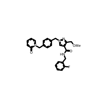 COCc1nn(Cc2ccc(Cn3ccccc3=O)cc2)cc1C(=O)NCc1ccccc1F